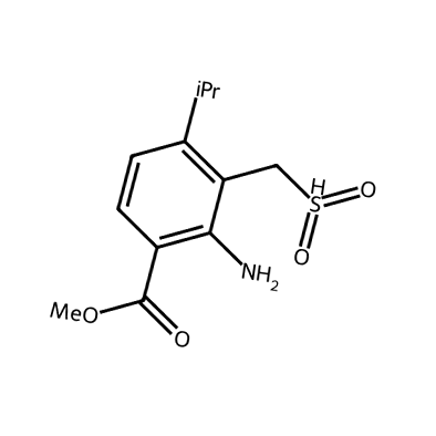 COC(=O)c1ccc(C(C)C)c(C[SH](=O)=O)c1N